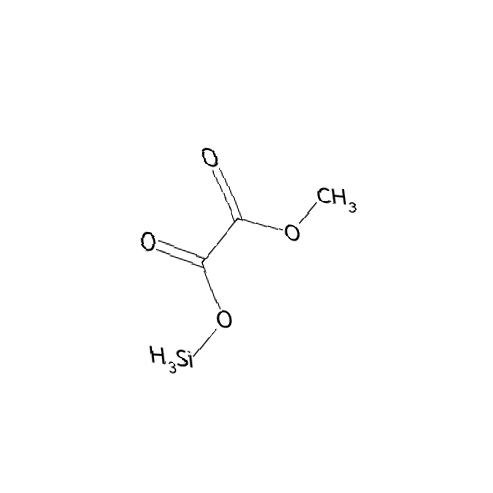 COC(=O)C(=O)O[SiH3]